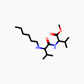 CCCCCCNC(C(=O)NC(C(=O)OC)C(C)C)C(C)C